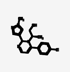 C[C@H](CO)N1C(c2ccc(Cl)cc2)=CC=NC1c1cnn(C)c1